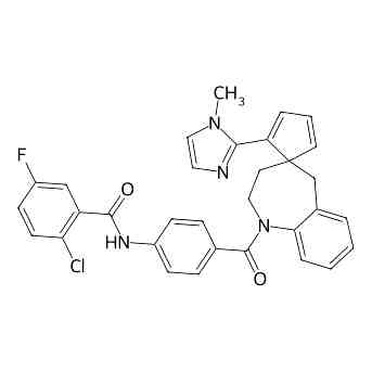 Cn1ccnc1C1=CC=CC12CCN(C(=O)c1ccc(NC(=O)c3cc(F)ccc3Cl)cc1)c1ccccc1C2